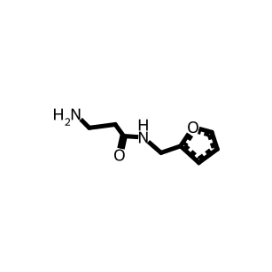 NCCC(=O)NCc1ccco1